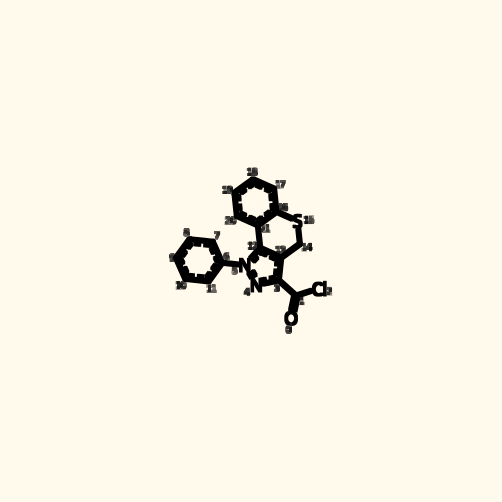 O=C(Cl)c1nn(-c2ccccc2)c2c1CSc1ccccc1-2